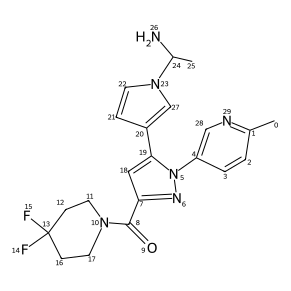 Cc1ccc(-n2nc(C(=O)N3CCC(F)(F)CC3)cc2-c2ccn(C(C)N)c2)cn1